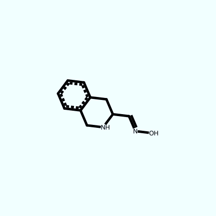 ON=CC1Cc2ccccc2CN1